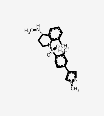 CN[C@H]1CCN(S(=O)(=O)c2ccc(-c3cnn(C)c3)cc2C)c2c(C)cccc21